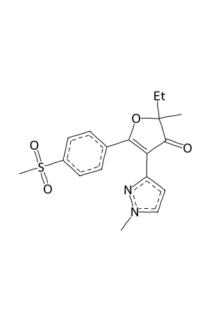 CCC1(C)OC(c2ccc(S(C)(=O)=O)cc2)=C(c2ccn(C)n2)C1=O